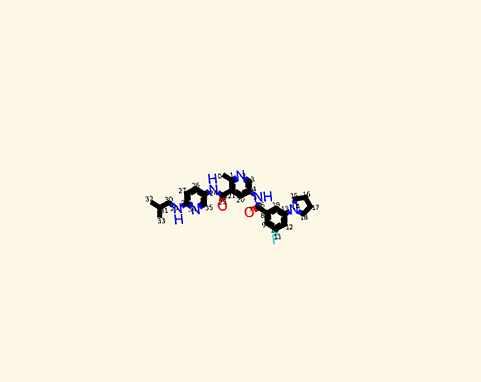 Cc1ncc(NC(=O)c2cc(F)cc(N3CCCC3)c2)cc1C(=O)Nc1ccc(NCC(C)C)nc1